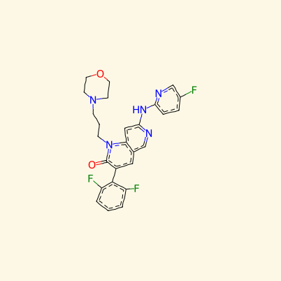 O=c1c(-c2c(F)cccc2F)cc2cnc(Nc3ccc(F)cn3)cc2n1CCCN1CCOCC1